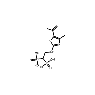 C=C(C)c1sc(NCC(P(=O)(O)O)P(=O)(O)O)nc1C